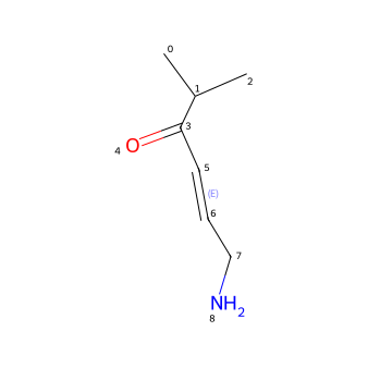 CC(C)C(=O)/C=C/CN